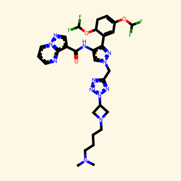 CN(C)CCCCN1CC(n2nnc(Cn3cc(NC(=O)c4cnn5cccnc45)c(C4=CC(OC(F)F)=CCC4OC(F)F)n3)n2)C1